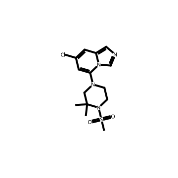 CC1(C)CN(c2cc(Cl)cc3cncn23)CCN1S(C)(=O)=O